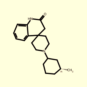 C[C@@H]1CCCC(N2CCC3(CC2)CC(=O)Nc2ccccc23)C1